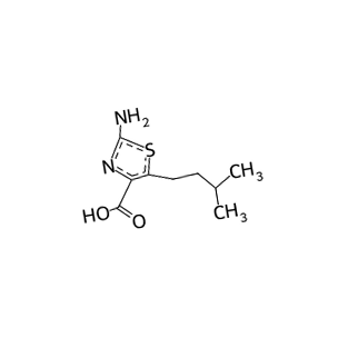 CC(C)CCc1sc(N)nc1C(=O)O